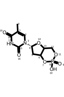 Cc1cn([C@H]2CC3OP(=O)(O)OCC3O2)c(=O)[nH]c1=O